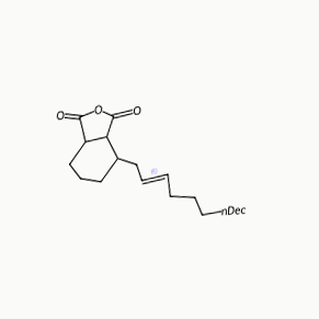 CCCCCCCCCCCCC/C=C/CC1CCCC2C(=O)OC(=O)C12